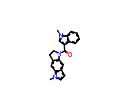 Cn1ccc2cc3c(cc21)CCN3C(=O)c1cn(C)c2ccccc12